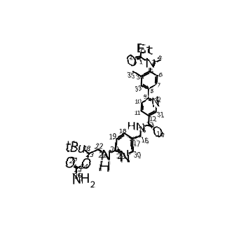 CCC(=O)N(C)c1ccc(-c2ccc(C(=O)NCc3ccc(NCC(OC(N)=O)C(C)(C)C)nc3)cn2)cc1C